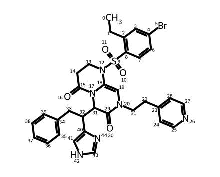 CCc1cc(Br)ccc1S(=O)(=O)N1CCC(=O)N2C1=CN(CCc1ccncc1)C(=O)C2C(Cc1ccccc1)c1c[nH]cn1